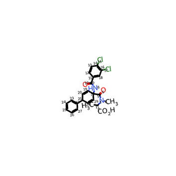 C[C@@H](C(=O)O)N(C)C(=O)C1(NC(=O)c2ccc(Cl)c(Cl)c2)C=CC(c2ccccc2)C=C1